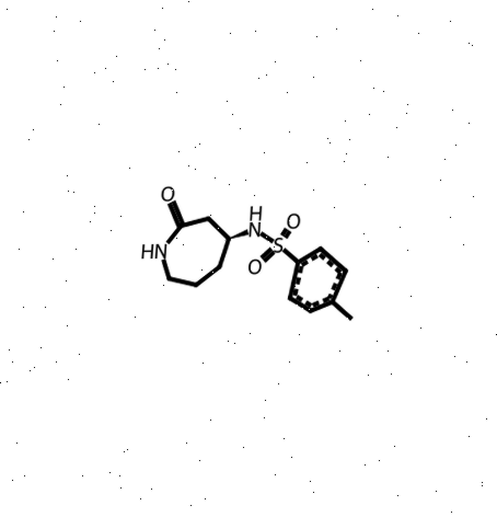 Cc1ccc(S(=O)(=O)N[C@H]2CCCNC(=O)C2)cc1